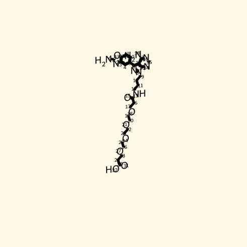 Nc1nc2cc(-c3nn(CCCCNC(=O)CCOCCOCCOCCOCCC(=O)O)c4ncnc(N)c34)ccc2o1